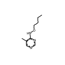 CCCCONc1ncncc1C